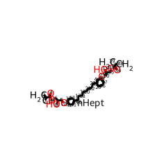 C=C(C)C(=O)OCC(O)COc1ccc(C(CCCCCCC)CCCCCCCc2cccc(OCC(O)COC(=O)C(=C)C)c2)cc1